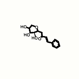 O=C(/C=C/c1ccccc1)CC1OCC(O)[C@H](O)[C@@H]1O